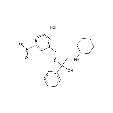 Cl.O=[N+]([O-])c1cccc(COC(O)(CNC2CCCCC2)c2ccccc2)c1